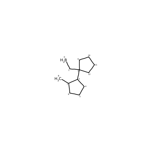 BCC1(C2CCCC2C)CCCC1